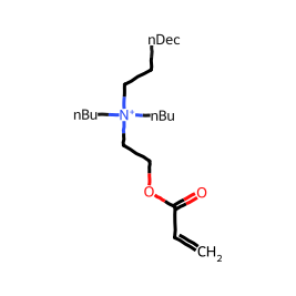 C=CC(=O)OCC[N+](CCCC)(CCCC)CCCCCCCCCCCC